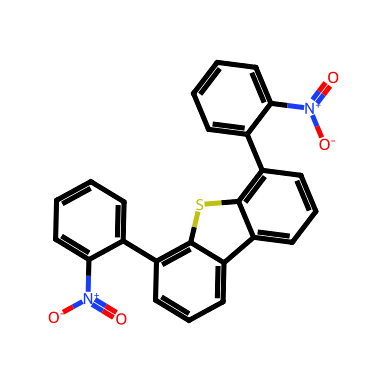 O=[N+]([O-])c1ccccc1-c1cccc2c1sc1c(-c3ccccc3[N+](=O)[O-])cccc12